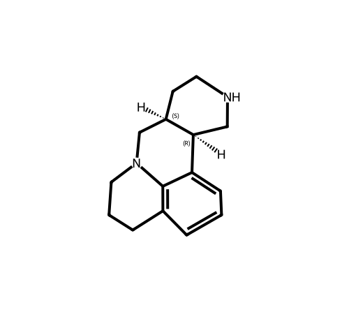 c1cc2c3c(c1)[C@@H]1CNCC[C@@H]1CN3CCC2